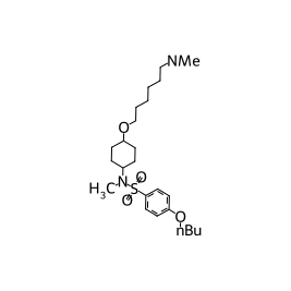 CCCCOc1ccc(S(=O)(=O)N(C)C2CCC(OCCCCCCNC)CC2)cc1